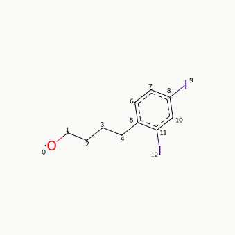 [O]CCCCc1ccc(I)cc1I